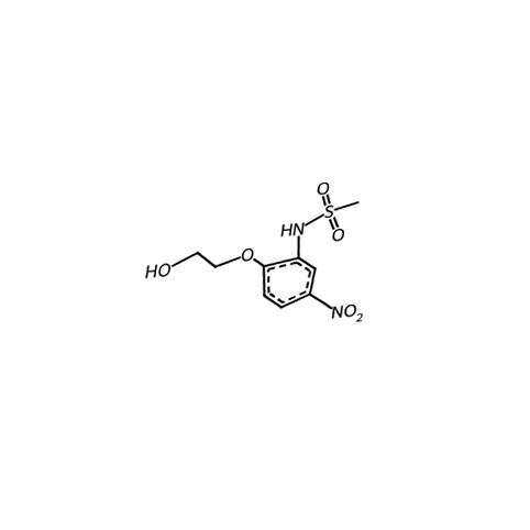 CS(=O)(=O)Nc1cc([N+](=O)[O-])ccc1OCCO